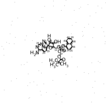 CC(C)(C)C(=O)OCOP(=O)(OC[C@H]1O[C@@](C#N)(c2ccc3c(N)ncnn23)[C@H](O)[C@@H]1O)Oc1cccc2ccccc12